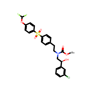 CC(C)(C)OC(=O)N(CCc1ccc(S(=O)(=O)c2ccc(OC(F)F)cc2)cc1)C[C@@H](O)c1cccc(Cl)c1